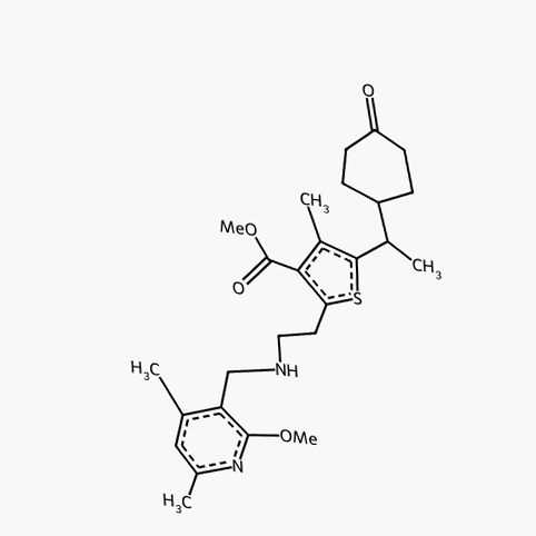 COC(=O)c1c(CCNCc2c(C)cc(C)nc2OC)sc(C(C)C2CCC(=O)CC2)c1C